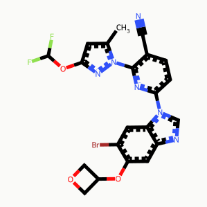 Cc1cc(OC(F)F)nn1-c1nc(-n2cnc3cc(OC4COC4)c(Br)cc32)ccc1C#N